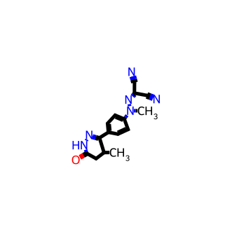 CC1CC(=O)NN=C1c1ccc(N(C)N=C(C#N)C#N)cc1